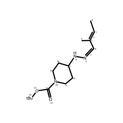 C/C=C(C)/C=N\NC1CCN(C(=O)OC(C)(C)C)CC1